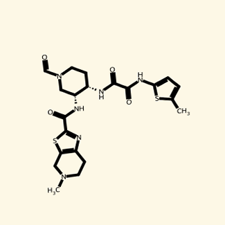 Cc1ccc(NC(=O)C(=O)N[C@H]2CCN(C=O)C[C@H]2NC(=O)c2nc3c(s2)CN(C)CC3)s1